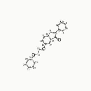 O=C1C(c2cccnc2)=Cc2ccc(OCCOc3ccccc3)cc21